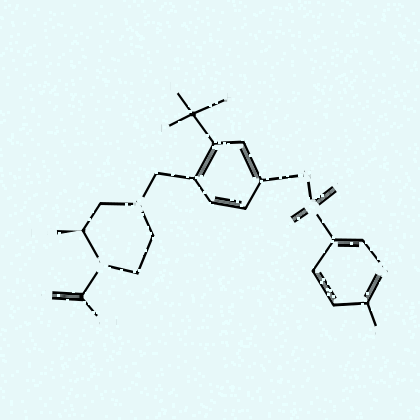 C[C@H]1CN(Cc2ccc(NS(=O)(=O)c3ccc(Cl)nc3)cc2C(F)(F)F)CCN1C(=O)O